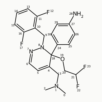 CN(C)[CH]C1=CC=NN(Cc2c(F)cccc2F)C1(OCC(F)F)c1ccc(N)cc1